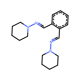 C(=NN1CCCCC1)c1ccccc1C=NN1CCCCC1